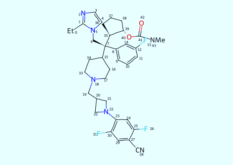 CCc1nccn1C[C@@](c1cccc(F)c1)(C1CCN(CC2CN(c3cc(F)c(C#N)cc3F)C2)CC1)[C@H]1CCC[C@@H]1OC(=O)NC